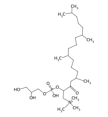 CC(C)CCCC(C)CCCC(C)CCCC(C)CC(=O)C(C[N+](C)(C)C)OP(=O)(O)OCC(O)CO